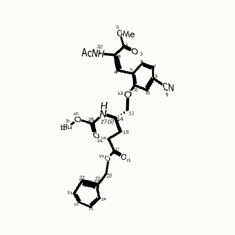 COC(=O)C(=Cc1ccc(C#N)cc1OC[C@H](CCC(=O)OCc1ccccc1)NC(=O)OC(C)(C)C)NC(C)=O